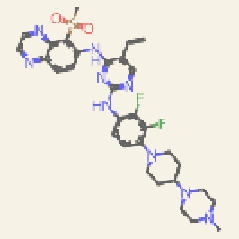 C=Cc1cnc(Nc2ccc(N3CCC(N4CCN(C)CC4)CC3)c(F)c2F)nc1Nc1ccc2nccnc2c1S(C)(=O)=O